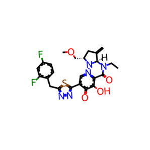 C=C1C[C@@H](COC)N2[C@@H]1N(CC)C(=O)c1c(O)c(=O)c(-c3nnc(Cc4ccc(F)cc4F)s3)cn12